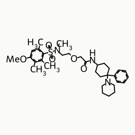 COc1cc(C)c(S(=O)(=O)N(C)CCOCC(=O)NC2CCC(c3ccccc3)(N3CCCCC3)CC2)c(C)c1C